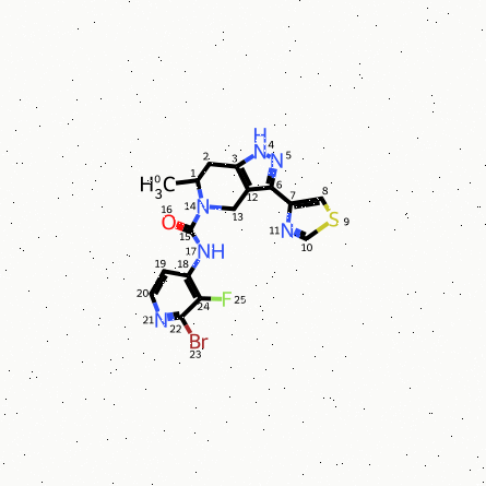 CC1Cc2[nH]nc(-c3cscn3)c2CN1C(=O)Nc1ccnc(Br)c1F